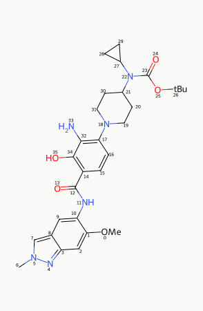 COc1cc2nn(C)cc2cc1NC(=O)c1ccc(N2CCC(N(C(=O)OC(C)(C)C)C3CC3)CC2)c(N)c1O